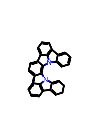 C1=c2c(n3c4c2cccc4c2ccc4c5cccc6c7ccccc7n(c65)c4c23)=CCC1